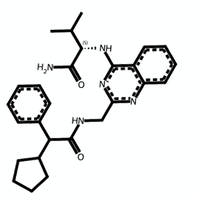 CC(C)[C@H](Nc1nc(CNC(=O)C(c2ccccc2)C2CCCC2)nc2ccccc12)C(N)=O